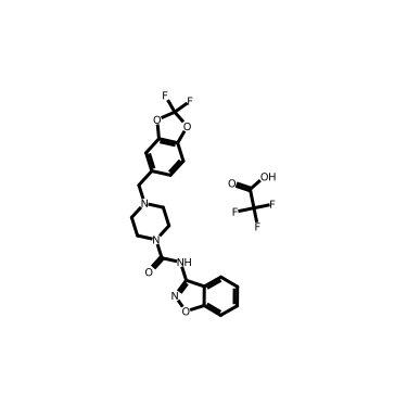 O=C(Nc1noc2ccccc12)N1CCN(Cc2ccc3c(c2)OC(F)(F)O3)CC1.O=C(O)C(F)(F)F